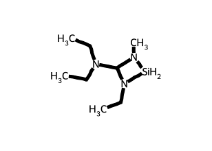 CCN(CC)C1N(C)[SiH2]N1CC